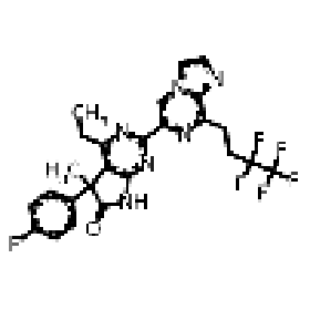 CCc1nc(-c2cn3ccnc3c(CCC(F)(F)C(F)(F)F)n2)nc2c1C(C)(c1ccc(F)cc1)C(=O)N2